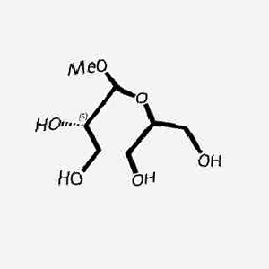 COC(OC(CO)CO)[C@@H](O)CO